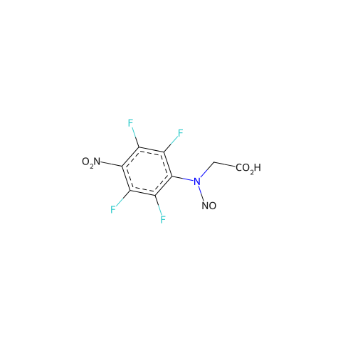 O=NN(CC(=O)O)c1c(F)c(F)c([N+](=O)[O-])c(F)c1F